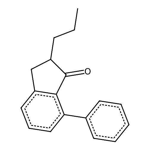 CCCC1Cc2cccc(-c3ccccc3)c2C1=O